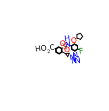 O=C(O)c1ccc(C2CC2)c(S(=O)(=O)Nc2cc(-n3cnnn3)c(F)cc2OC2CCCC2)c1